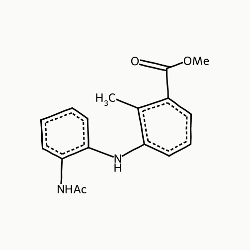 COC(=O)c1cccc(Nc2ccccc2NC(C)=O)c1C